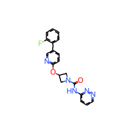 O=C(Nc1cccnn1)N1CC(Oc2ccc(-c3ccccc3F)cn2)C1